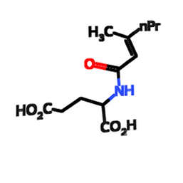 CCCC(C)=CC(=O)NC(CCC(=O)O)C(=O)O